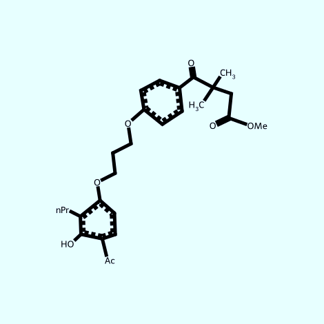 CCCc1c(OCCCOc2ccc(C(=O)C(C)(C)CC(=O)OC)cc2)ccc(C(C)=O)c1O